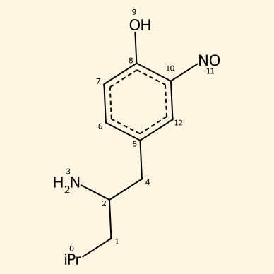 CC(C)CC(N)Cc1ccc(O)c(N=O)c1